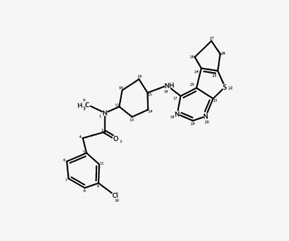 CN(C(=O)Cc1cccc(Cl)c1)C1CCC(Nc2ncnc3sc4c(c23)CCC4)CC1